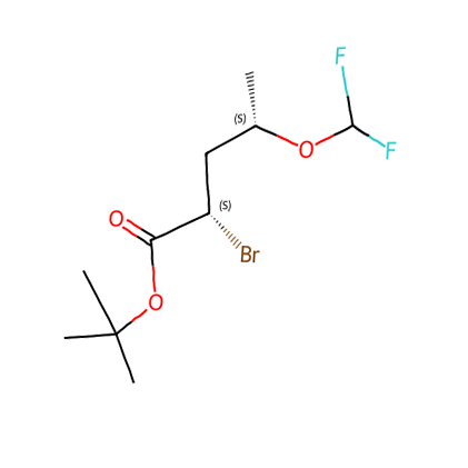 C[C@@H](C[C@H](Br)C(=O)OC(C)(C)C)OC(F)F